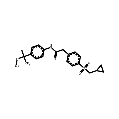 CCCOC(C)(c1ccc(NC(=O)Cc2ccc(S(=O)(=O)CC3CC3)cc2)cc1)C(F)(F)F